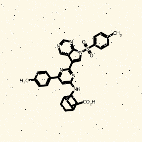 Cc1ccc(-c2cc(NC3C4CCC(CC4)C3C(=O)O)nc(-c3cn(S(=O)(=O)c4ccc(C)cc4)c4ncncc34)n2)cc1